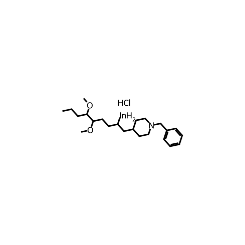 CCCC(OC)C(CC[CH]([InH2])CC1CCN(Cc2ccccc2)CC1)OC.Cl